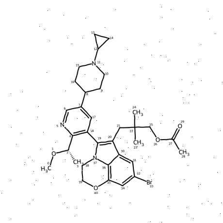 CO[C@@H](C)c1ncc(C2CCN(C3CC3)CC2)cc1-c1c(CC(C)(C)COC(C)=O)c2cc(Br)cc3c2n1CCO3